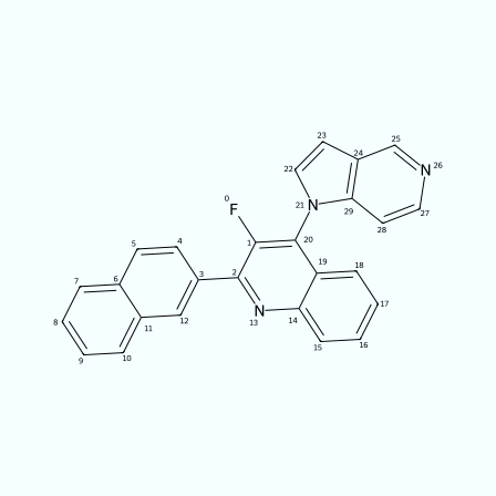 Fc1c(-c2ccc3ccccc3c2)nc2ccccc2c1-n1ccc2cnccc21